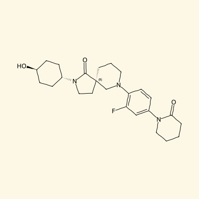 O=C1CCCCN1c1ccc(N2CCC[C@@]3(CCN([C@H]4CC[C@H](O)CC4)C3=O)C2)c(F)c1